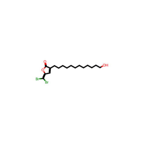 O=C1OC(=C(Br)Br)C=C1CCCCCCCCCCCCO